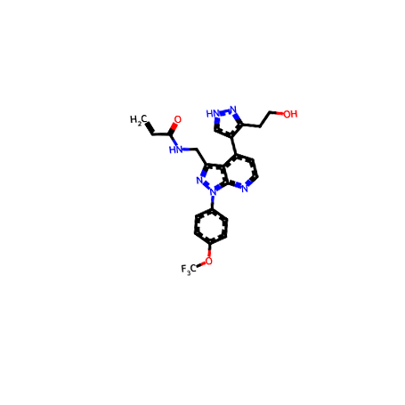 C=CC(=O)NCc1nn(-c2ccc(OC(F)(F)F)cc2)c2nccc(-c3c[nH]nc3CCO)c12